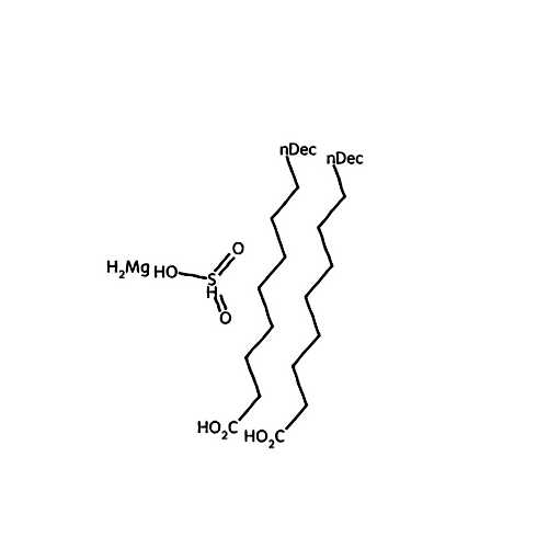 CCCCCCCCCCCCCCCCCC(=O)O.CCCCCCCCCCCCCCCCCC(=O)O.O=[SH](=O)O.[MgH2]